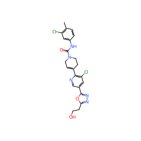 Cc1ccc(NC(=O)N2CC=C(c3ncc(-c4nnc(CCO)o4)cc3Cl)CC2)cc1Cl